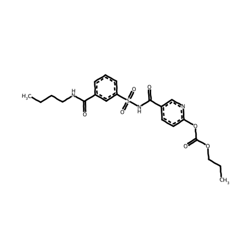 CCCCNC(=O)c1cccc(S(=O)(=O)NC(=O)c2ccc(OC(=O)OCCC)nc2)c1